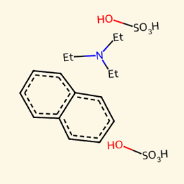 CCN(CC)CC.O=S(=O)(O)O.O=S(=O)(O)O.c1ccc2ccccc2c1